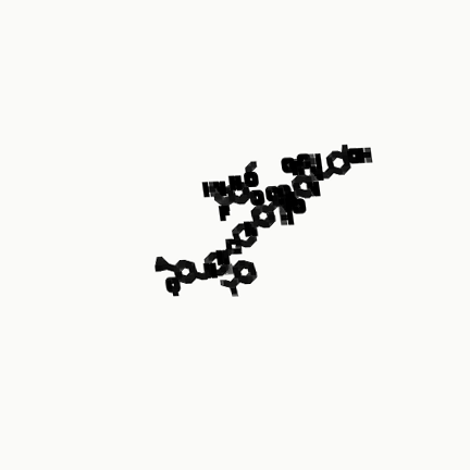 CCOc1nc2[nH]cc(F)c2cc1Oc1cc(N2CCC3(CC2)CC(N2CCN(Cc4ccc(C5CC5)c(OC)c4)C[C@H]2c2ccccc2C(C)C)C3)ccc1C(=O)NS(=O)(=O)c1cnc(NCC2CCC(C)(O)CC2)c([N+](=O)[O-])c1